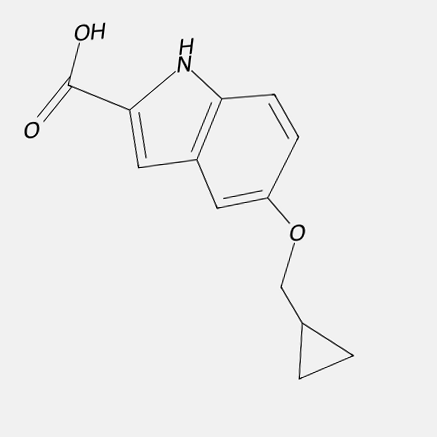 O=C(O)c1cc2cc(OCC3CC3)ccc2[nH]1